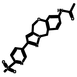 CC(=O)Nc1ccc2c(c1)OCc1cc(-c3ccc(S(C)(=O)=O)nc3)nn1C2